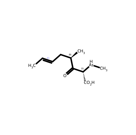 C/C=C/C[C@@H](C)C(=O)[C@H]([AsH]C)C(=O)O